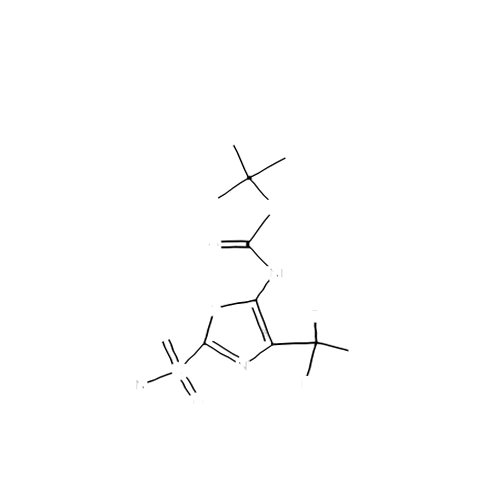 CC(C)(C)OC(=O)Nc1sc(S(N)(=O)=O)nc1C(F)(F)F